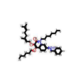 CCCCCCCCn1c(=O)c(OCC=C(C)CCC=C(C)C)c(OCCCCCC)c2ccc(NCc3ccccc3)cc21